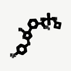 C=C(NS(=O)(=O)NC1CCC1)c1cccc(-c2cc(Oc3ccc(C(F)(F)F)cc3)nn2CC)c1